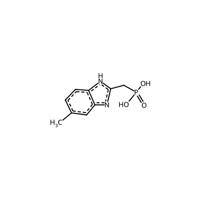 Cc1ccc2[nH]c(CP(=O)(O)O)nc2c1